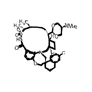 CN[C@H]1CO[C@@H]([C@H]2CCC[C@H](C)[C@@H](C)S(=O)(=O)NC(=O)c3ccc4c(c3)N(C[C@@H]3CC[C@H]32)C[C@@]2(CCCc3cc(Cl)ccc32)CO4)OC1